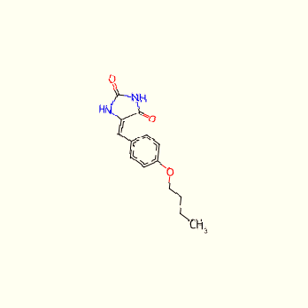 CCCCOc1ccc(C=C2NC(=O)NC2=O)cc1